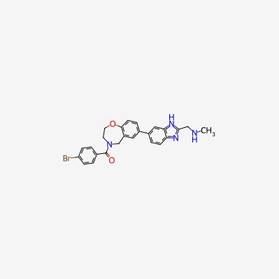 CNCc1nc2ccc(-c3ccc4c(c3)CN(C(=O)c3ccc(Br)cc3)CCO4)cc2[nH]1